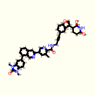 Cc1cc(-c2cc3cccc(-c4ccc5c(c4)n(C)c(=O)n5C)c3cn2)cnc1C(=O)NCC#Cc1ccc2occ(C3CCC(=O)NC3=O)c2c1